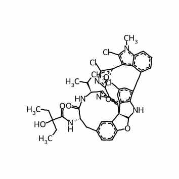 CCC(O)(CC)C(=O)N[C@H]1Cc2ccc3c(c2)[C@]24c5cc(Cl)cc(c5NC2O3)-c2cccc3c2c(c(Cl)n3C)-c2oc(nc2Cl)-c2nc(oc24)[C@H](C(C)C)NC1=O